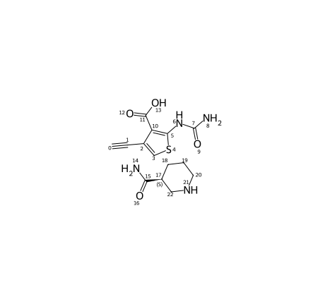 C#Cc1csc(NC(N)=O)c1C(=O)O.NC(=O)[C@H]1CCCNC1